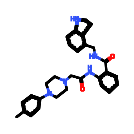 Cc1ccc(N2CCN(CC(=O)Nc3ccccc3C(=O)NCc3cccc4[nH]ccc34)CC2)cc1